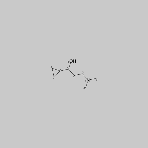 CN(C)CCC(O)C1CC1